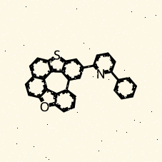 c1ccc(-c2cccc(-c3cc4c5c(c3)sc3ccc6ccc7oc8cccc-4c8c7c6c35)n2)cc1